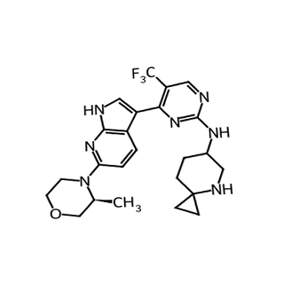 C[C@H]1COCCN1c1ccc2c(-c3nc(NC4CCC5(CC5)NC4)ncc3C(F)(F)F)c[nH]c2n1